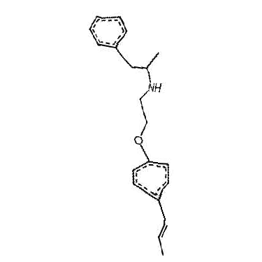 CC=Cc1ccc(OCCNC(C)Cc2ccccc2)cc1